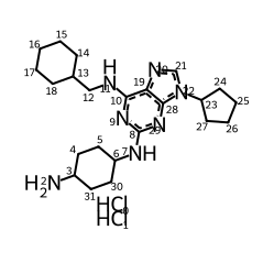 Cl.Cl.NC1CCC(Nc2nc(NCC3CCCCC3)c3ncn(C4CCCC4)c3n2)CC1